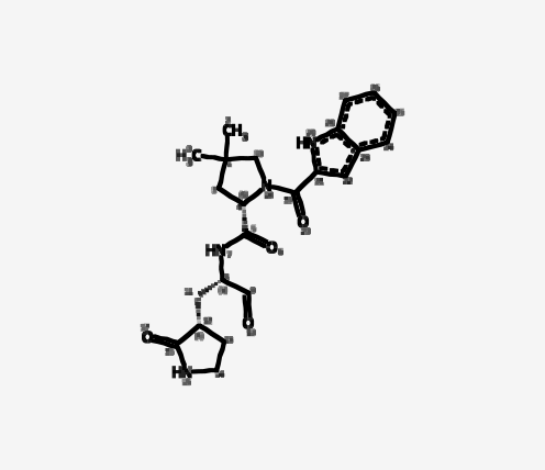 CC1(C)C[C@@H](C(=O)N[C@H](C=O)C[C@@H]2CCNC2=O)N(C(=O)c2cc3ccccc3[nH]2)C1